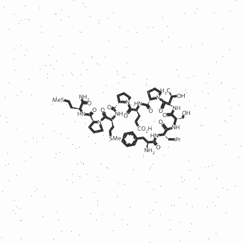 CSCC[C@H](NC(=O)[C@@H]1CCCN1C(=O)[C@H](CCSC)NC(=O)[C@@H]1CCCN1C(=O)[C@H](CCC(=O)O)NC(=O)[C@@H]1CCCN1C(=O)[C@@H](NC(=O)[C@H](CO)NC(=O)[C@H](CC(C)C)NC(=O)[C@@H](N)Cc1ccccc1)[C@@H](C)O)C(N)=O